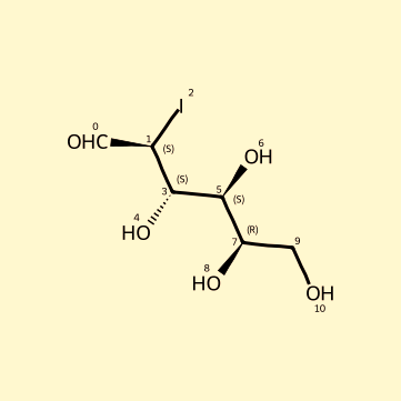 O=C[C@@H](I)[C@@H](O)[C@@H](O)[C@H](O)CO